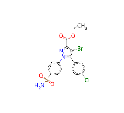 CCOC(=O)c1nn(-c2ccc(S(N)(=O)=O)cc2)c(-c2ccc(Cl)cc2)c1Br